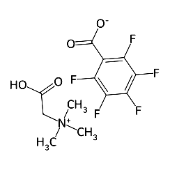 C[N+](C)(C)CC(=O)O.O=C([O-])c1c(F)c(F)c(F)c(F)c1F